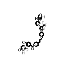 O=C1CCN(c2cc(C(=O)N3CCC(CCCN4CCC(n5cc(N6C=C(N7C[C@H]8C[C@@H]7CO8)C=CC6)c(C(F)F)n5)CC4)CC3)ccc2Cl)C(=O)N1